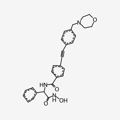 O=C(NC(C(=O)NO)c1ccccc1)c1ccc(C#Cc2ccc(CN3CCOCC3)cc2)cc1